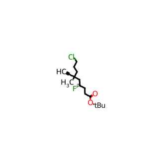 C#CC(C)(CCCCl)C[C@@H](F)CCC(=O)OC(C)(C)C